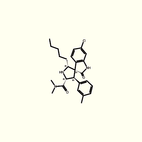 CCCCC[C@H]1N[C@@H](C(=O)N(C)C)[C@H](c2cccc(C)c2)[C@@]12C(=O)Nc1cc(Cl)ccc12